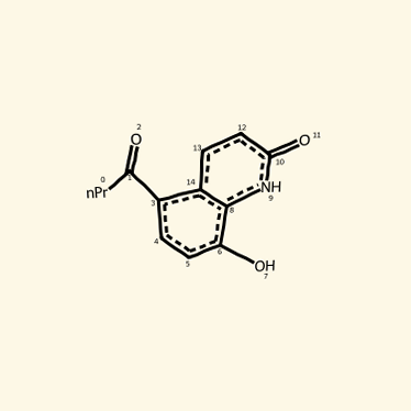 CCCC(=O)c1ccc(O)c2[nH]c(=O)ccc12